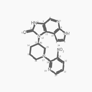 O=c1[nH]c2cnc3[nH]ccc3c2n1[C@@H]1CCCN(c2ncccc2[N+](=O)[O-])C1